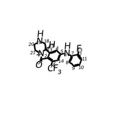 O=C1c2c(cc(Nc3ccccc3F)cc2C(F)(F)F)[C@@H]2CNCCN12